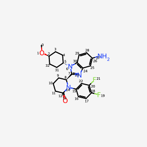 CO[C@H]1CC[C@H](n2c([C@@H]3CCCC(=O)N3c3ccc(F)c(F)c3)nc3cc(N)ccc32)CC1